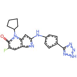 O=c1c(F)cc2cnc(Nc3ccc(-c4nn[nH]n4)cc3)cc2n1C1CCCC1